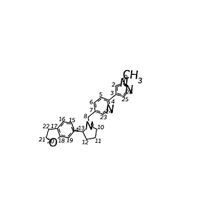 Cn1cc(-c2ccc(CN3CCCC3c3ccc4c(c3)OCC4)cn2)cn1